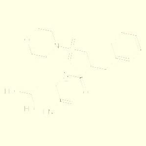 CC(C)C[C@H](NC(=O)C(Cc1ccccc1)CS(=O)(=O)N1CCOCC1)C(N)=O